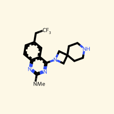 CNc1nc(N2CC3(CCNCC3)C2)c2cc(CC(F)(F)F)ccc2n1